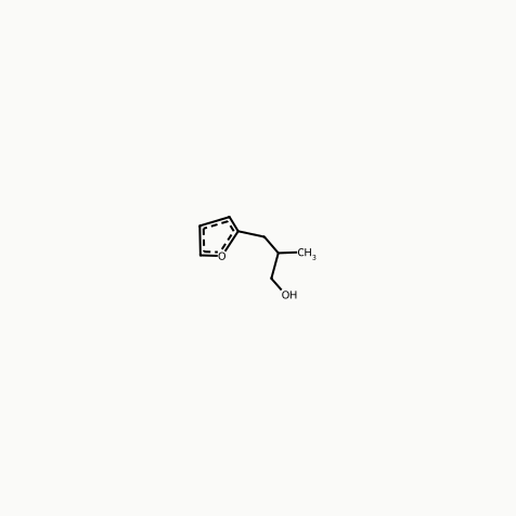 CC(CO)Cc1ccco1